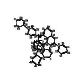 CC1(C)c2ccccc2-c2c(-c3ccccc3)cc3cccc(N(c4ccc(-c5ccccc5)cc4)c4ccc(-c5ccccc5)cc4)c3c21